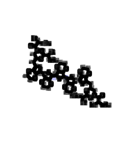 CCCCC(CC)C(=O)OCC(Cc1sc([C+]2S/C(=c3/s/c(=C4/S[C+](c5sc(CC(COC(=O)C(CC)CCCC)OC(=O)C(CC)CCCC)c6c5OCCO6)C5=C4OCCO5)c4c3OCCO4)C3=C2OCCO3)c2c1OCCO2)OC(=O)C(CC)CCCC